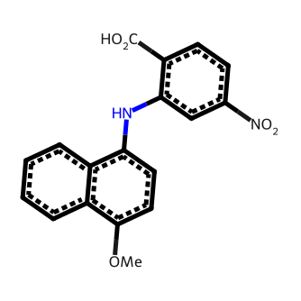 COc1ccc(Nc2cc([N+](=O)[O-])ccc2C(=O)O)c2ccccc12